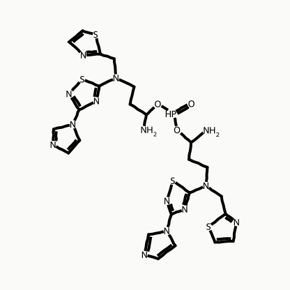 NC(CCN(Cc1nccs1)c1nc(-n2ccnc2)ns1)O[PH](=O)OC(N)CCN(Cc1nccs1)c1nc(-n2ccnc2)ns1